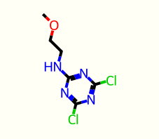 COCCNc1nc(Cl)nc(Cl)n1